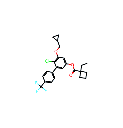 CCC1(C(=O)Oc2cc(OCC3CC3)c(Cl)c(-c3ccc(C(F)(F)F)cc3)c2)CCC1